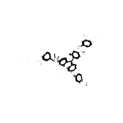 CCOc1ccc(Nc2ccc(C(c3ccc(N(CC)Cc4cccc(S(=O)(=O)O)c4)cc3C)c3ccc(N(CC)Cc4cccc(S(=O)(=O)O)c4)cc3C)cc2)cc1